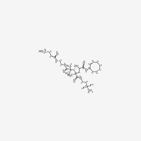 CCC(CC(C)(CC(C)(C)C(=O)OCCOC(=O)CCC(=O)O)C(=O)OCCC(C)(F)F)C(=O)OC1CCCCCCC1